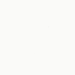 C=C(C)C(=O)Oc1c[c]ccc1C